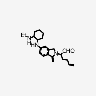 C=CCCC(C=O)N1Cc2cc(NC3CCCCC3NCC)ccc2C1=C